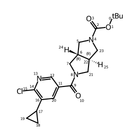 CC(C)(C)OC(=O)N1C[C@H]2CN(C(=O)c3cnc(Cl)c(C4CC4)c3)C[C@@H]2C1